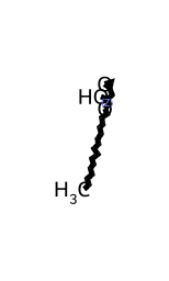 CCCCCCCCCCCCCCCCO/C=C(\O)CC1CO1